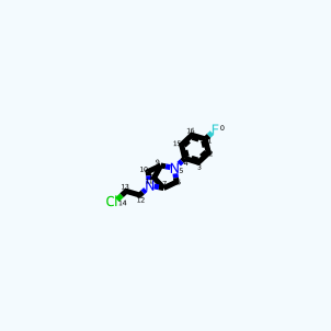 Fc1ccc(N2CC3CC2CN3CCCl)cc1